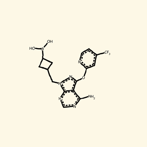 Nc1ncnc2c1c(Oc1cc(C(F)(F)F)ccn1)nn2CC1CC(B(O)O)C1